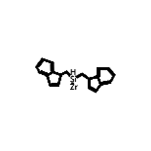 [Zr][SiH](CC1C=Cc2ccccc21)CC1C=Cc2ccccc21